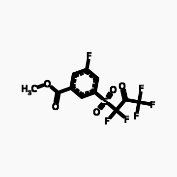 COC(=O)c1cc(F)cc(S(=O)(=O)C(F)(F)C(=O)C(F)(F)F)c1